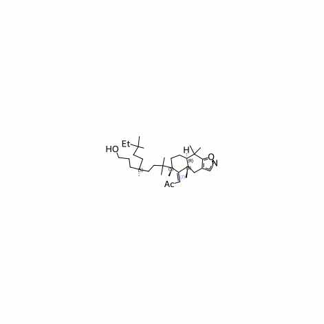 CCC(C)(C)CC[C@](C)(CCCO)CCC(C)(C)[C@]1(C)CC[C@H]2C(C)(C)c3oncc3C[C@]2(C)/C1=C/C(C)=O